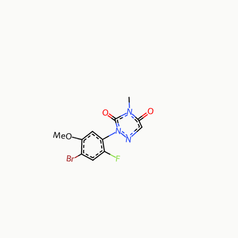 COc1cc(-n2ncc(=O)n(C)c2=O)c(F)cc1Br